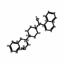 [O-][S+](c1cccc2ccccc12)N1CCN([C@@H](CO)Cc2ccccc2)CC1